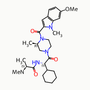 CN[C@@H](C)C(=O)N[C@H](C(=O)N1CCN(C(=O)c2cc3ccc(OC)cc3n2C)[C@H](C)C1)C1CCCCC1